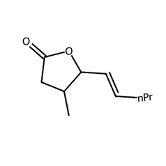 CCCC=CC1OC(=O)CC1C